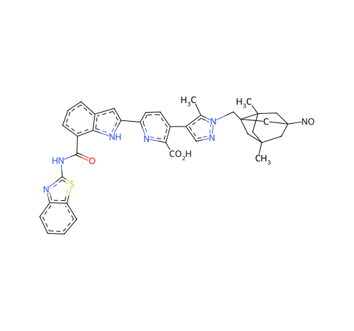 Cc1c(-c2ccc(-c3cc4cccc(C(=O)Nc5nc6ccccc6s5)c4[nH]3)nc2C(=O)O)cnn1CC12CC3(C)CC(N=O)(CC1(C)C3)C2